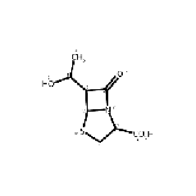 CC(O)C1C(=O)N2C(C(=O)O)CSC12